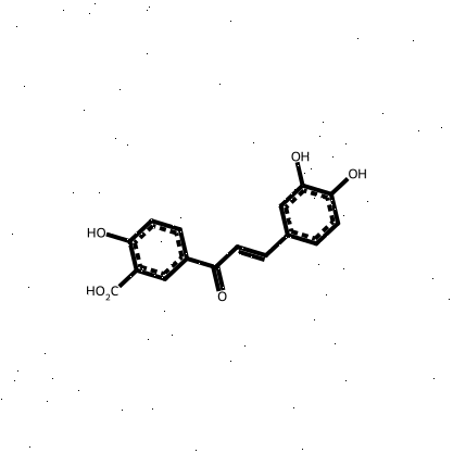 O=C(/C=C/c1ccc(O)c(O)c1)c1ccc(O)c(C(=O)O)c1